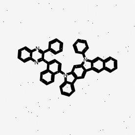 c1ccc(-c2nc3ccccc3nc2-c2ccc(-n3c4ccccc4c4cc5c6cc7ccccc7cc6n(-c6ccccc6)c5cc43)c3ccccc23)cc1